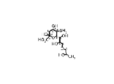 CC(O)COCC(O)C(O)[C@@H]1OC(O)(C(=O)O)C[C@H](O)[C@H]1N